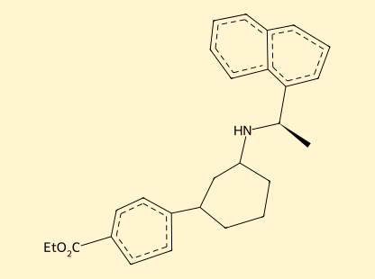 CCOC(=O)c1ccc(C2CCCC(N[C@H](C)c3cccc4ccccc34)C2)cc1